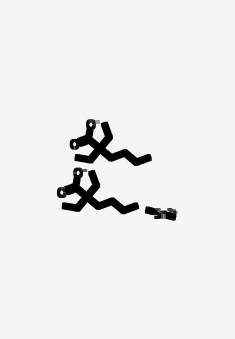 CCCCC(CC)(CC)C(=O)[O-].CCCCC(CC)(CC)C(=O)[O-].[CH3][Sn+2][CH3]